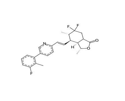 Cc1c(F)cccc1-c1ccc(C=C[C@@H]2[C@H]3C(CC(F)(F)[C@H]2C)C(=O)O[C@@H]3C)nc1